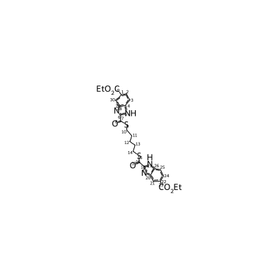 CCOC(=O)c1ccc2[nH]c(C(=O)SCCCCCSC(=O)c3nc4cc(C(=O)OCC)ccc4[nH]3)nc2c1